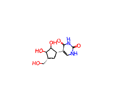 O=c1[nH]cc([C@@H]2C[C@H](CO)C(O)C2O)c(=O)[nH]1